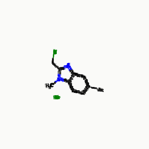 Br.CC(=O)c1ccc2c(c1)nc(CBr)n2C